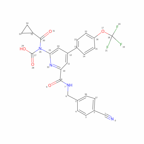 N#Cc1ccc(CNC(=O)c2cc(-c3ccc(OC(F)(F)F)cc3)cc(N(C(=O)O)C(=O)C3CC3)n2)cc1